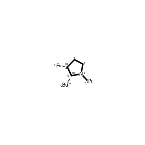 CC(C)N1CC[C@@H](F)[C@H]1C(C)(C)C